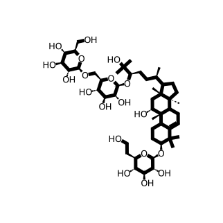 C[C@H](CC[C@@H](O[C@@H]1O[C@H](CO[C@@H]2O[C@H](CO)[C@@H](O)[C@H](O)[C@H]2O)[C@@H](O)[C@H](O)[C@H]1O)C(C)(C)O)C1CC[C@@]2(C)C3CC=C4C(CC[C@H](O[C@@H]5O[C@H](CCO)[C@@H](O)[C@H](O)[C@H]5O)C4(C)C)[C@]3(C)[C@H](O)C[C@]12C